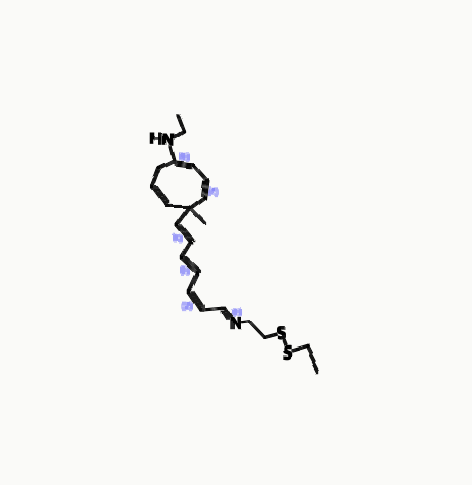 CCN/C1=C/C=C\C(C)(/C=C/C=C/C=C\C=N\CCSSCC)C=CC1